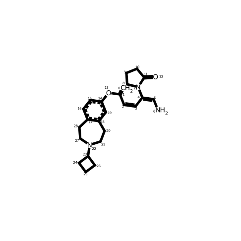 C=C(/C=C\C(=C/N)N1CCCC1=O)Oc1ccc2c(c1)CCN(C1CCC1)CC2